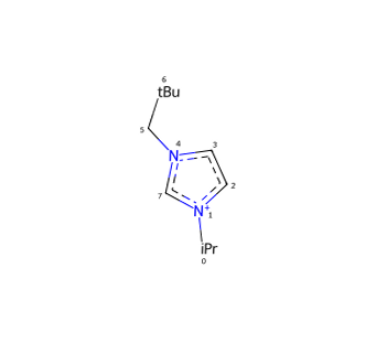 CC(C)[n+]1ccn(CC(C)(C)C)c1